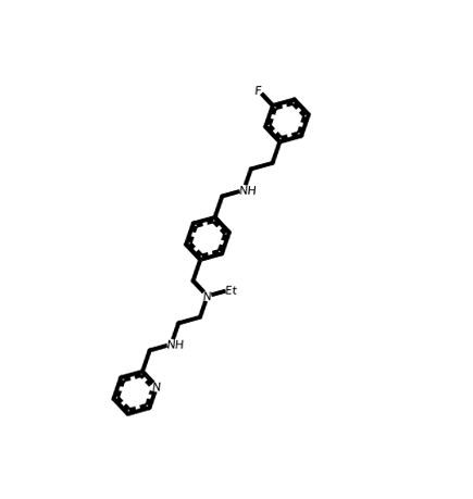 CCN(CCNCc1ccccn1)Cc1ccc(CNCCc2cccc(F)c2)cc1